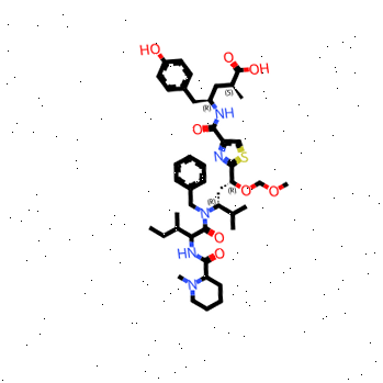 CCC(C)C(NC(=O)C1CCCCN1C)C(=O)N(Cc1ccccc1)[C@H](C[C@@H](OCOC)c1nc(C(=O)N[C@@H](Cc2ccc(O)cc2)C[C@H](C)C(=O)O)cs1)C(C)C